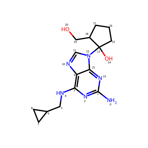 Nc1nc(NCC2CC2)c2ncn(C3(O)CCCC3CO)c2n1